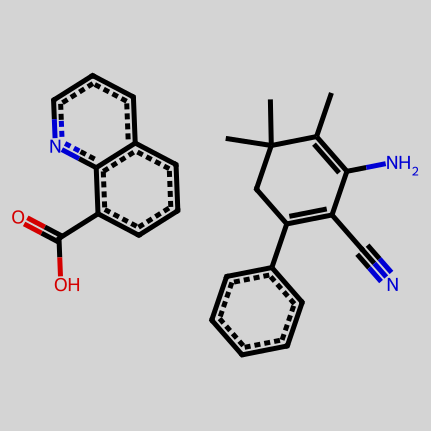 CC1=C(N)C(C#N)=C(c2ccccc2)CC1(C)C.O=C(O)c1cccc2cccnc12